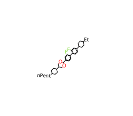 CCCCCC1CCC(C2COC(c3ccc(-c4ccc(C5CCC(CC)CC5)cc4F)c(F)c3)OC2)CC1